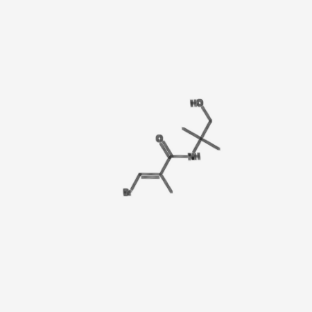 C/C(=C\Br)C(=O)NC(C)(C)CO